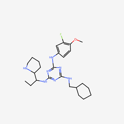 CCC(Nc1nc(NCC2CCCCC2)nc(Nc2ccc(OC)c(F)c2)n1)C1CCCCN1